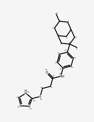 CC1CC2CC(C1)CC(C)(c1ccc(NC(=O)CCSc3nnc[nH]3)cc1)C2